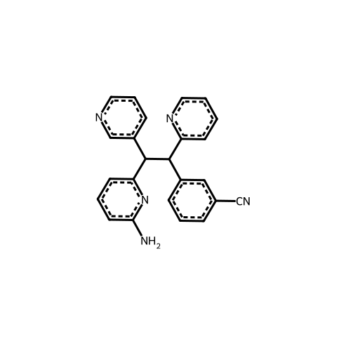 N#Cc1cccc(C(c2ccccn2)C(c2cccnc2)c2cccc(N)n2)c1